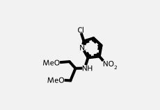 COCC(COC)Nc1nc(Cl)ccc1[N+](=O)[O-]